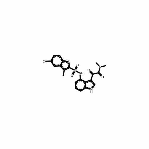 Cc1c(S(=O)(=O)Nc2cccc3[nH]cc(C(=O)C(=O)N(C)C)c23)sc2ccc(Cl)cc12